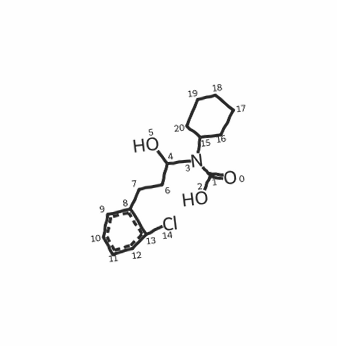 O=C(O)N(C(O)CCc1ccccc1Cl)C1CCCCC1